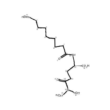 CCCCCCCCCCCCCCCCCC(=O)N[C@@H](CCC(=O)N(CCCCCCCC)CCCCCCCC)C(=O)O